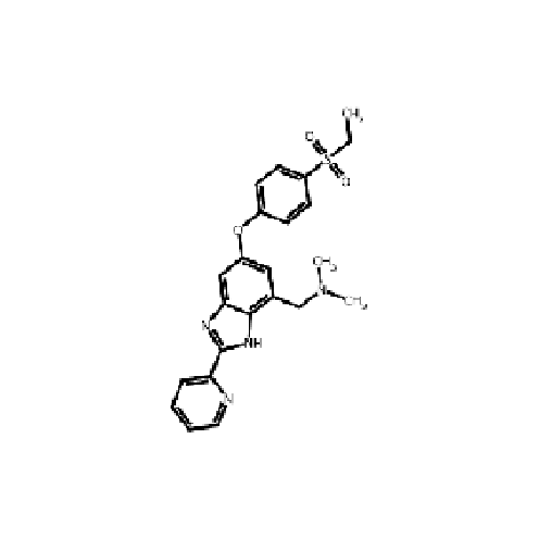 CCS(=O)(=O)c1ccc(Oc2cc(CN(C)C)c3[nH]c(-c4ccccn4)nc3c2)cc1